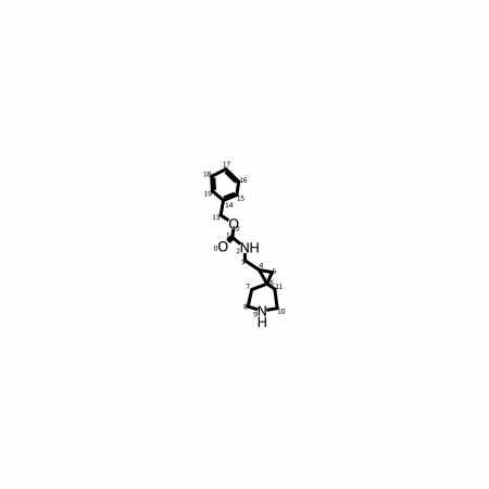 O=C(NCC1CC12CCNCC2)OCc1ccccc1